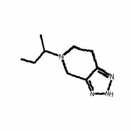 CCC(C)N1CCc2n[nH]nc2C1